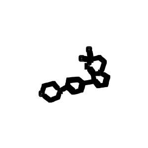 O=S1(=O)CCN2C=CC=C(c3ccc(N4CCOCC4)cc3)C2=N1